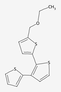 CCOCc1ccc(-c2sccc2-c2cccs2)s1